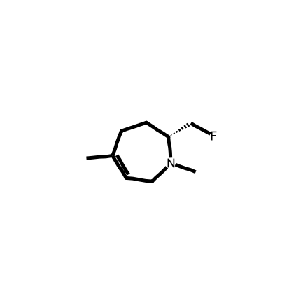 CC1=CCN(C)[C@@H](CF)CC1